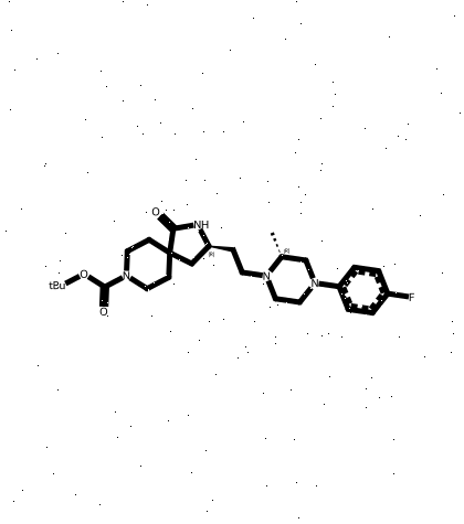 C[C@@H]1CN(c2ccc(F)cc2)CCN1CC[C@H]1CC2(CCN(C(=O)OC(C)(C)C)CC2)C(=O)N1